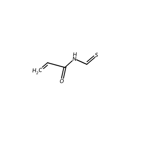 C=CC(=O)NC=S